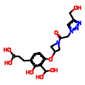 O=C(Cn1cc(CO)nn1)N1CC(Oc2ccc(CCB(O)O)c(O)c2C(O)O)C1